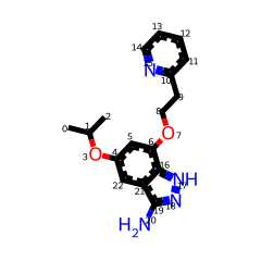 CC(C)Oc1cc(OCCc2ccccn2)c2[nH]nc(N)c2c1